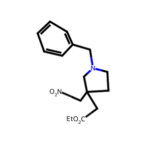 CCOC(=O)CC1(C[N+](=O)[O-])CCN(Cc2ccccc2)C1